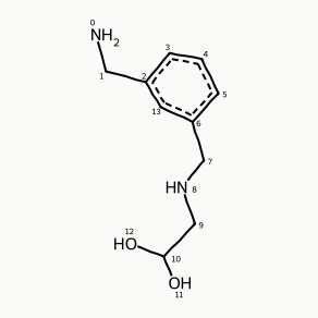 NCc1cccc(CNCC(O)O)c1